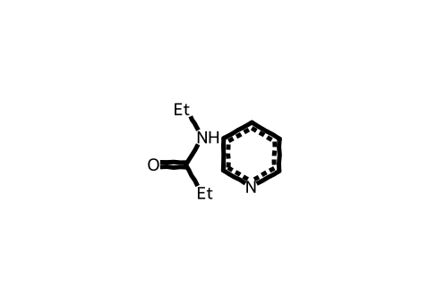 CCNC(=O)CC.c1ccncc1